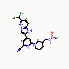 C[S+]([O-])NCC1CCCN(c2cc(-c3cnc(/C=C\C(=N)C(F)F)[nH]3)cc(C#N)n2)C1